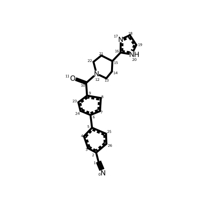 N#Cc1ccc(-c2ccc(C(=O)N3CCC(c4ncc[nH]4)CC3)cc2)cc1